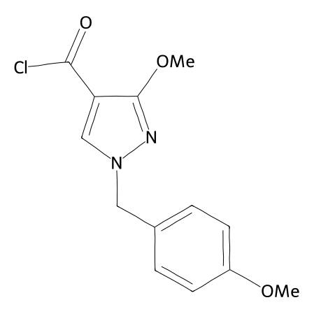 COc1ccc(Cn2cc(C(=O)Cl)c(OC)n2)cc1